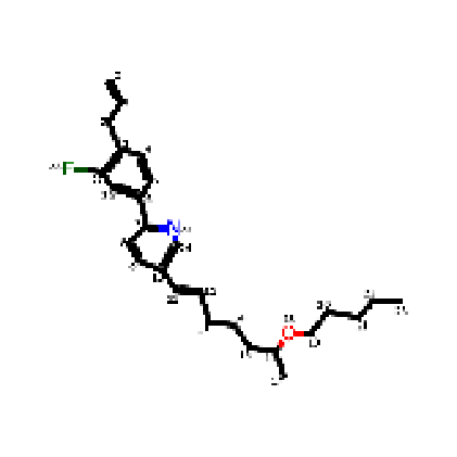 C=CCc1ccc(-c2ccc(/C=C/CCCC(C)OCCCCC)cn2)cc1F